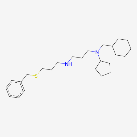 c1ccc(CSCCCNCCCN(CC2CCCCC2)C2CCCC2)cc1